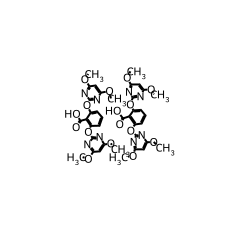 COc1cc(OC)nc(Oc2cccc(Oc3nc(OC)cc(OC)n3)c2C(=O)O)n1.COc1cc(OC)nc(Oc2cccc(Oc3nc(OC)cc(OC)n3)c2C(=O)O)n1